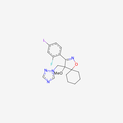 COC1(Cn2cncn2)C(c2ccc(I)cc2F)=NOC12CCCCC2